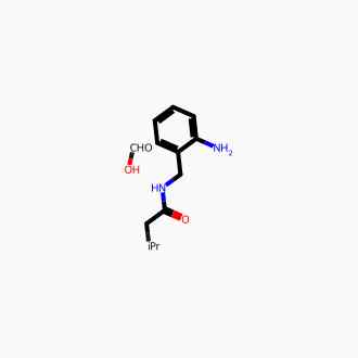 CC(C)CC(=O)NCc1ccccc1N.O=CO